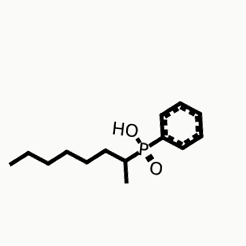 CCCCCCC(C)P(=O)(O)c1ccccc1